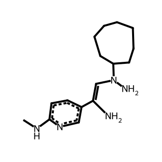 CNc1ccc(/C(N)=C/N(N)C2CCCCCCC2)cn1